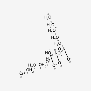 O.O.O.O.O.O.O.O.O.O=[N+]([O-])[O-].O=[N+]([O-])[O-].O=[N+]([O-])[O-].[Cr+3]